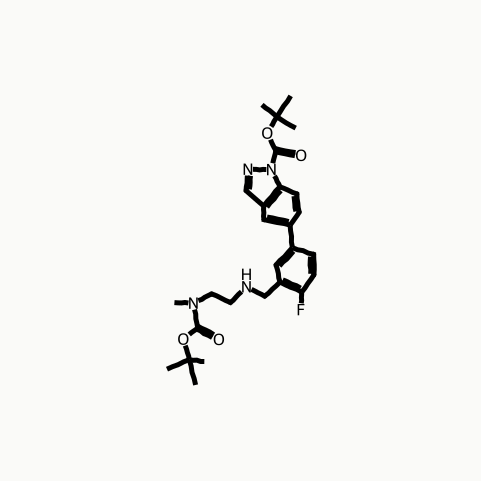 CN(CCNCc1cc(-c2ccc3c(cnn3C(=O)OC(C)(C)C)c2)ccc1F)C(=O)OC(C)(C)C